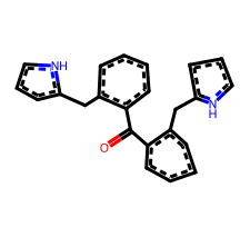 O=C(c1ccccc1Cc1ccc[nH]1)c1ccccc1Cc1ccc[nH]1